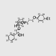 CCC1C=CC(OCCC[N+]23CCC(CC2)[C@@H](OC[C@H](O)c2ccccc2)C3)=CC1